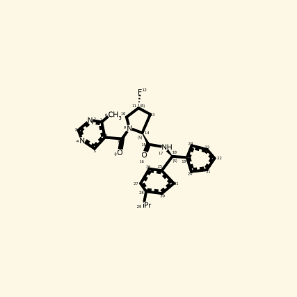 Cc1ncncc1C(=O)N1C[C@H](F)C[C@H]1C(=O)N[C@@H](c1ccccc1)c1ccc(C(C)C)cc1